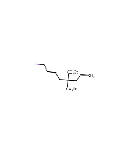 C=CCC(CCCCI)(C(=O)OCC)C(=O)OCC